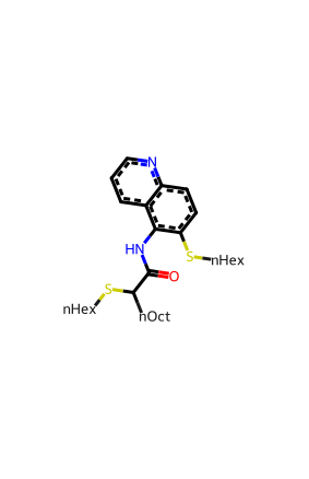 CCCCCCCCC(SCCCCCC)C(=O)Nc1c(SCCCCCC)ccc2ncccc12